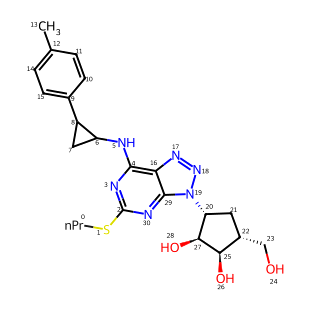 CCCSc1nc(NC2CC2c2ccc(C)cc2)c2nnn([C@@H]3C[C@H](CO)[C@@H](O)[C@H]3O)c2n1